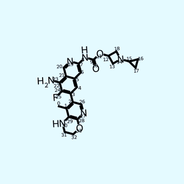 Cc1c(-c2cc3cc(NC(=O)OC4CN(C5CC5)C4)ncc3c(N)c2F)cnc2c1NCCO2